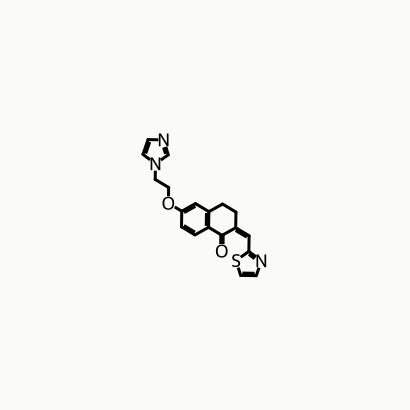 O=C1C(=Cc2nccs2)CCc2cc(OCCn3ccnc3)ccc21